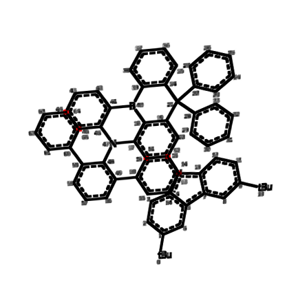 CC(C)(C)c1ccc2c(c1)c1cc(C(C)(C)C)ccc1n2-c1cc2c3c(c1)C(c1ccccc1)(c1ccccc1)c1ccccc1B3c1ccccc1N2c1c(-c2ccccc2)cccc1-c1ccccc1